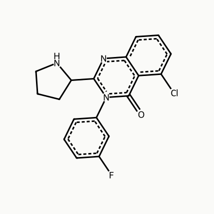 O=c1c2c(Cl)cccc2nc(C2CCCN2)n1-c1cccc(F)c1